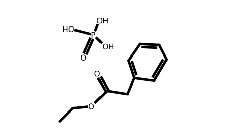 CCOC(=O)Cc1ccccc1.O=P(O)(O)O